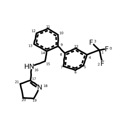 FC(F)(F)c1cccc(-c2ccccc2CNC2=NCCC2)c1